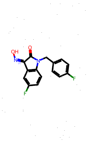 O=C1/C(=N\O)c2cc(F)ccc2N1Cc1ccc(F)cc1